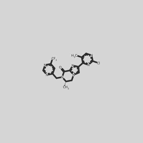 Cc1cnc(Cl)nc1-c1cn2c(n1)C(=O)N(Cc1cc(C(F)(F)F)ncn1)[C@@H](C)C2